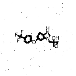 OC1(CN2CNc3ccc(Oc4ccc(C(F)(F)F)cc4)cc32)COC1